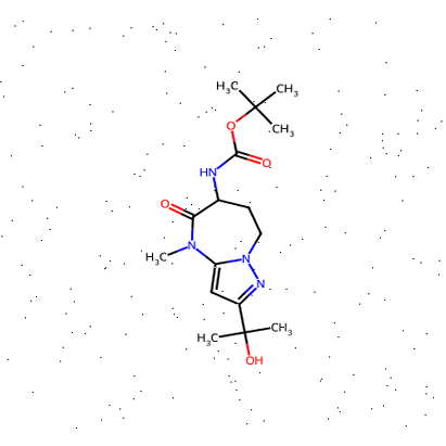 CN1C(=O)C(NC(=O)OC(C)(C)C)CCn2nc(C(C)(C)O)cc21